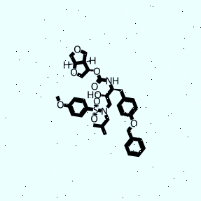 COc1ccc(S(=O)(=O)N(CC(C)C)C[C@@H](O)[C@H](Cc2ccc(OCc3ccccc3)cc2)NC(=O)O[C@H]2CO[C@H]3COC[C@H]32)cc1